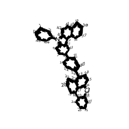 c1ccc(-n2c3ccc(-c4ccc(-c5ccc6c7c(cccc57)-c5ccccc5O6)cc4)cc3c3c4ccccc4ccc32)cc1